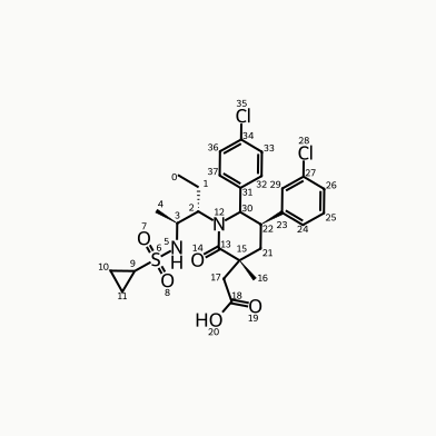 CC[C@@H]([C@H](C)NS(=O)(=O)C1CC1)N1C(=O)[C@@](C)(CC(=O)O)C[C@H](c2cccc(Cl)c2)C1c1ccc(Cl)cc1